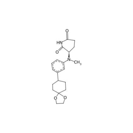 CN(c1cccc(C2CCC3(CC2)OCCO3)c1)[C@@H]1CCC(=O)NC1=O